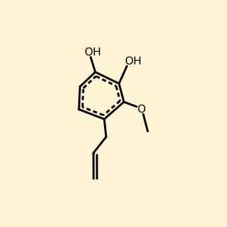 C=CCc1ccc(O)c(O)c1OC